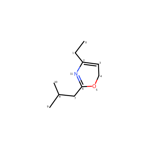 CCC1=CCOC(CC(C)C)=N1